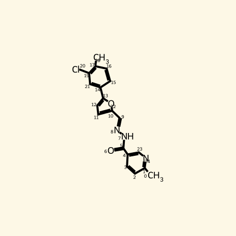 Cc1ccc(C(=O)N/N=C/c2ccc(-c3ccc(C)c(Cl)c3)o2)cn1